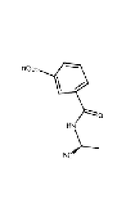 CCCCCCCCc1cccc(C(=O)N[C@@H](C)C#N)c1